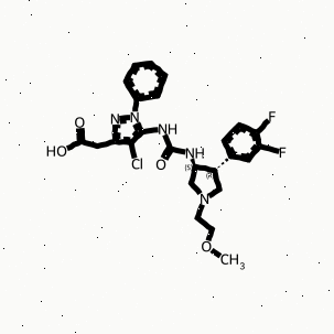 COCCN1C[C@@H](NC(=O)Nc2c(Cl)c(CC(=O)O)nn2-c2ccccc2)[C@H](c2ccc(F)c(F)c2)C1